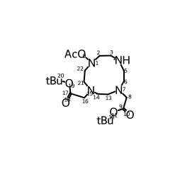 CC(=O)ON1CCNCCN(CC(=O)OC(C)(C)C)CCN(CC(=O)OC(C)(C)C)CC1